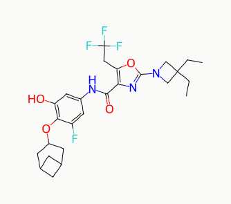 CCC1(CC)CN(c2nc(C(=O)Nc3cc(O)c(OC4CC5CC(C5)C4)c(F)c3)c(CC(F)(F)F)o2)C1